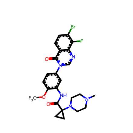 CN1CCN(C2(C(=O)Nc3cc(-n4cnc5c(F)c(Br)ccc5c4=O)ccc3OC(F)(F)F)CC2)CC1